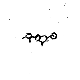 Cc1c(-c2cc3nc(C4CC5CCN4CC5)[nH]c(=O)c3s2)cnn1C